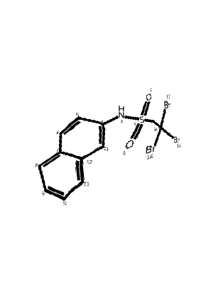 O=S(=O)(Nc1ccc2ccccc2c1)C(Br)(Br)Br